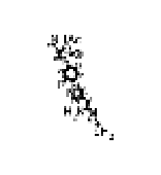 C=CO/N=C(\N)Cc1cn(-c2ccc(N3C[C@H](CNC(C)=O)OC3=O)cc2F)nn1